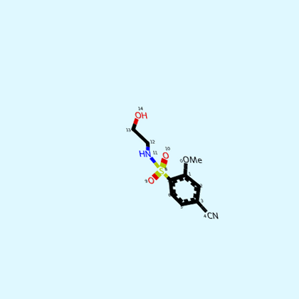 COc1cc(C#N)ccc1S(=O)(=O)NCCO